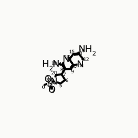 CS(=O)(=O)N1CCC(c2cc3ncc(N)cc3nc2N)C1